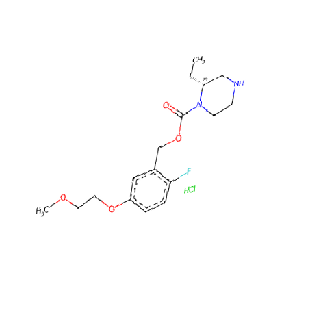 CC[C@@H]1CNCCN1C(=O)OCc1cc(OCCOC)ccc1F.Cl